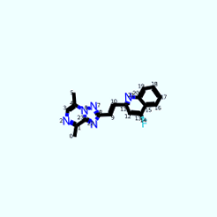 Cc1ncc(C)n2nc(/C=C/c3cc(F)c4ccccc4n3)nc12